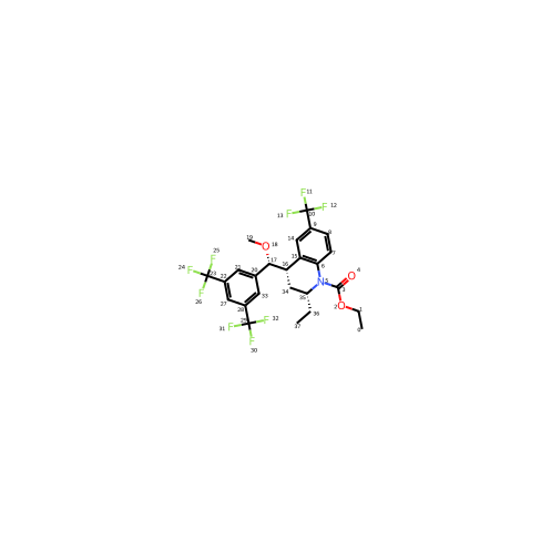 CCOC(=O)N1c2ccc(C(F)(F)F)cc2[C@@H]([C@@H](OC)c2cc(C(F)(F)F)cc(C(F)(F)F)c2)C[C@H]1CC